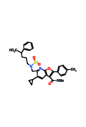 CNC(=O)c1c(-c2ccc(C)cc2)oc2nc(CN(CCCC(C(=O)O)c3ccccc3)[SH](=O)=O)c(C3CC3)cc12